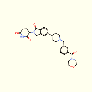 O=C1CCC(N2Cc3cc(C4CCN(Cc5cccc(C(=O)N6CCOCC6)c5)CC4)ccc3C2=O)C(=O)N1